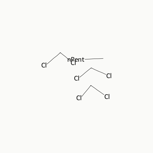 CCCCCC.ClCCl.ClCCl.ClCCl